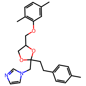 Cc1ccc(CCC2(Cn3ccnc3)OCC(COc3cc(C)ccc3C)O2)cc1